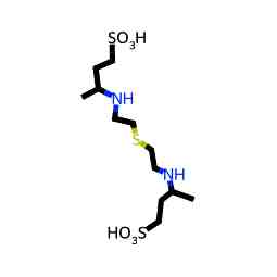 CC(CCS(=O)(=O)O)NCCSCCNC(C)CCS(=O)(=O)O